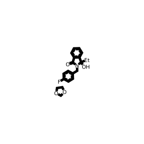 C1COCO1.CCC1(O)c2ccccc2C(=O)N1Cc1ccc(F)cc1